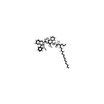 CCCCCCCCCCCCCCC(CCC)NC(=O)OOCC(OC)[C@@H](OC(=O)NCC1=CC=CCN1C(=O)c1ccccc1OC)C(=O)N1CCCCC1